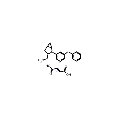 NCC1CC2CC2N1c1cncc(Sc2ccccc2)c1.O=C(O)/C=C/C(=O)O